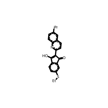 CCSc1ccc2c(c1)C(=O)C(c1ccc3cc(C(C)C)ccc3n1)=C2O